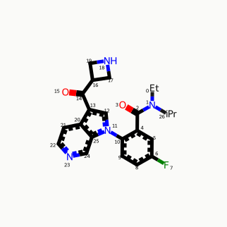 CCN(C(=O)c1cc(F)ccc1-n1cc(C(=O)C2CNC2)c2ccncc21)C(C)C